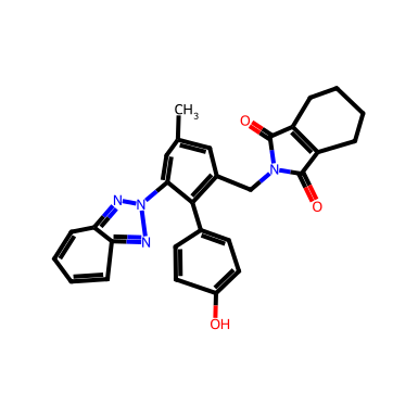 Cc1cc(CN2C(=O)C3=C(CCCC3)C2=O)c(-c2ccc(O)cc2)c(-n2nc3ccccc3n2)c1